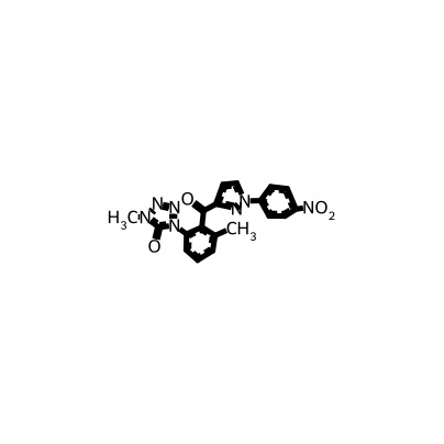 Cc1cccc(-n2nnn(C)c2=O)c1C(=O)c1ccn(-c2ccc([N+](=O)[O-])cc2)n1